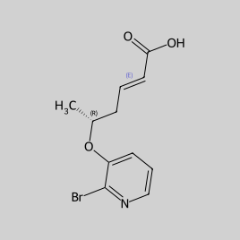 C[C@H](C/C=C/C(=O)O)Oc1cccnc1Br